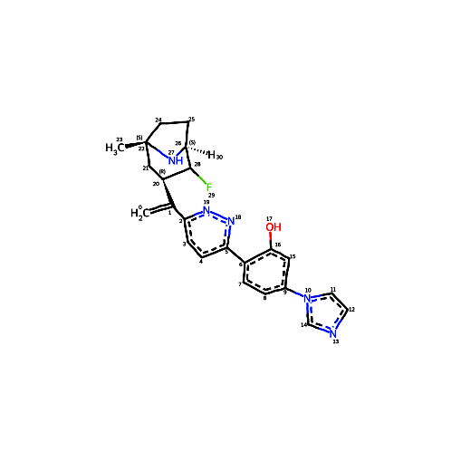 C=C(c1ccc(-c2ccc(-n3ccnc3)cc2O)nn1)[C@H]1C[C@]2(C)CC[C@H](N2)C1F